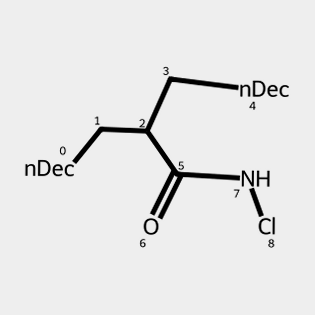 CCCCCCCCCCCC(CCCCCCCCCCC)C(=O)NCl